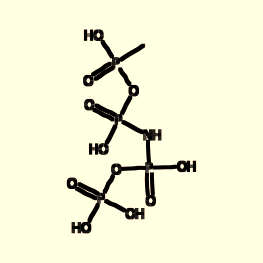 CP(=O)(O)OP(=O)(O)NP(=O)(O)OP(=O)(O)O